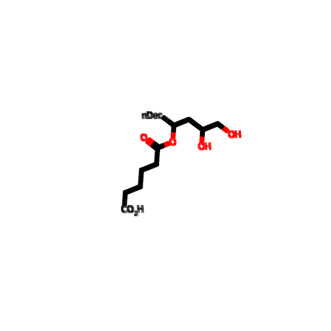 CCCCCCCCCCC(CC(O)CO)OC(=O)CCCCC(=O)O